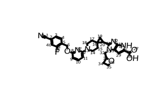 N#Cc1ccc(COc2cccc(N3CCC4(CC3)CC4c3nc4[nH]c(C(=O)O)cc4n3CC3CCO3)n2)c(F)c1